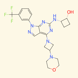 O[C@@H]1CC[C@@H]1Nc1nc(N2CC(N3CCOCC3)C2)c2cnn(-c3cccc(C(F)(F)F)c3)c2n1